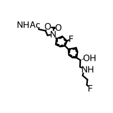 CC(=O)NCC1CN(c2ccc(-c3ccc([C@H](O)CNCCCF)cc3)c(F)c2)C(=O)O1